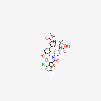 COc1ccc(-c2ccnc(C(=O)N(C)C)c2)cc1CN(C(=O)c1sc2c(F)ccc(F)c2c1Cl)C1CCC(N(CC(C)(C)C)C(=O)O)CC1